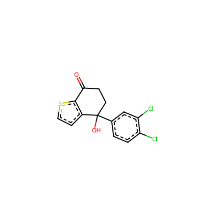 O=C1CCC(O)(c2ccc(Cl)c(Cl)c2)c2ccsc21